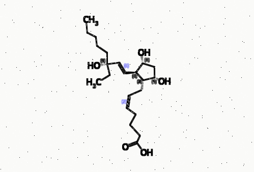 CCCCC[C@@](O)(/C=C/[C@@H]1[C@@H](C/C=C\CCCC(=O)O)[C@@H](O)C[C@H]1O)CC